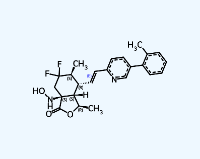 Cc1ccccc1-c1ccc(/C=C/[C@@H]2[C@@H]3[C@@H](C)OC(=O)[C@]3(NO)CC(F)(F)[C@H]2C)nc1